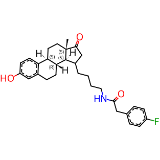 C[C@]12CC[C@@H]3c4ccc(O)cc4CC[C@H]3[C@@H]1C(CCCCNC(=O)Cc1ccc(F)cc1)CC2=O